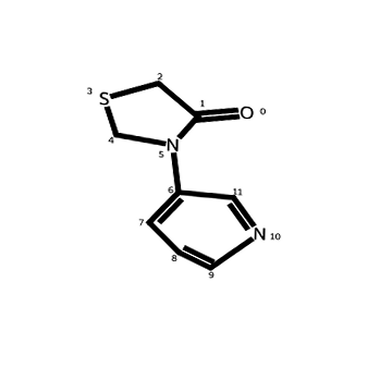 O=C1CSCN1c1cccnc1